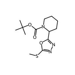 CSc1nnc(C2CCCCN2C(=O)OC(C)(C)C)o1